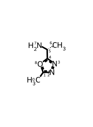 Cc1nnc([C@@H](C)N)o1